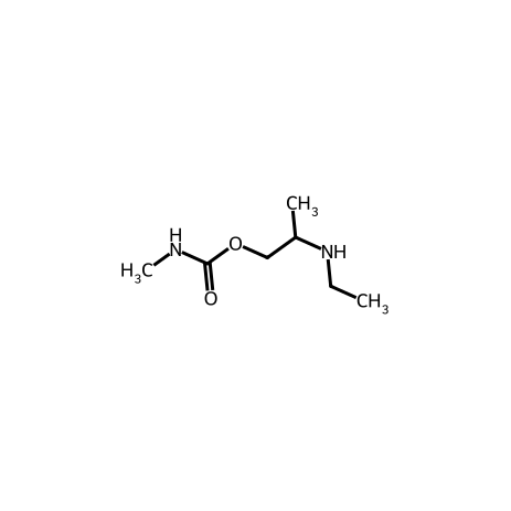 CCNC(C)COC(=O)NC